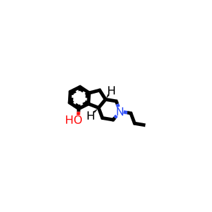 CCCN1CC[C@H]2c3c(O)cccc3C[C@H]2C1